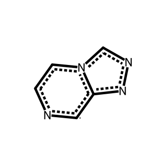 [c]1nccn2cnnc12